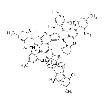 Cc1cc(C)c(-c2cc3c4c(c2)N(c2c(C)cc(C)cc2C)c2cc5c(cc2B4c2cc4c(cc2O3)N(c2c(C)cc(C)cc2C)c2cc(-c3c(C)cc(C)cc3C)cc3c2B4c2ccccc2O3)B2c3c(cc(-c4c(C)cc(C)cc4C)cc3-n3c4ccccc4c4cccc2c43)N5)c(C)c1